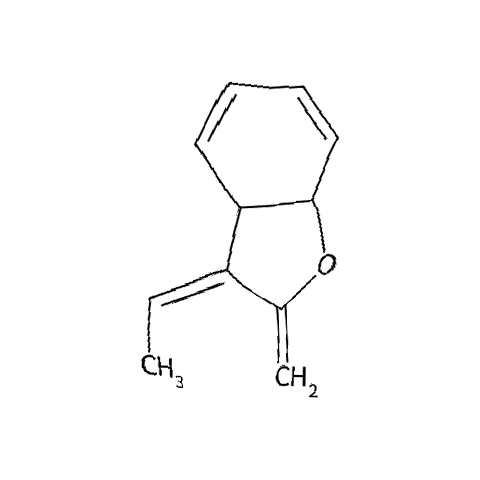 C=C1OC2C=CC=CC2/C1=C/C